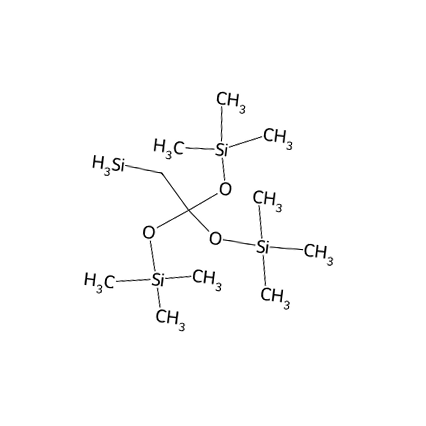 C[Si](C)(C)OC(C[SiH3])(O[Si](C)(C)C)O[Si](C)(C)C